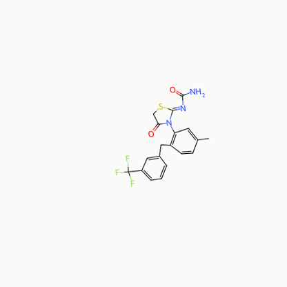 Cc1ccc(Cc2cccc(C(F)(F)F)c2)c(N2C(=O)CSC2=NC(N)=O)c1